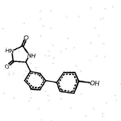 O=C1NC(=O)C(c2cccc(-c3ccc(O)cc3)c2)N1